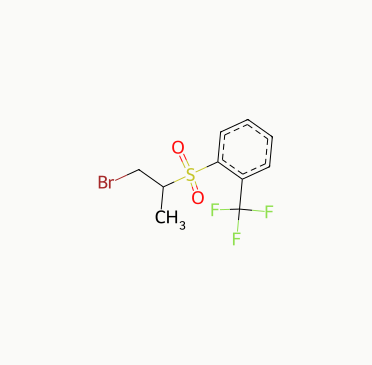 CC(CBr)S(=O)(=O)c1ccccc1C(F)(F)F